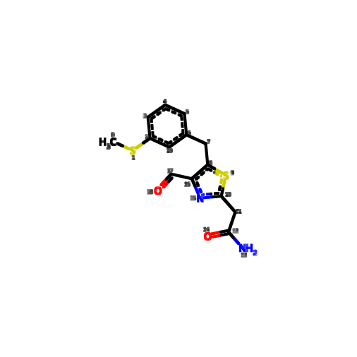 CSc1cccc(Cc2sc(CC(N)=O)nc2C=O)c1